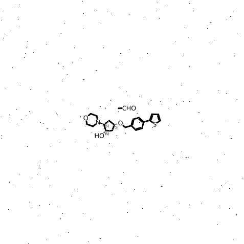 CC=O.O[C@H]1C[C@@H](OCc2ccc(-c3cccs3)cc2)C[C@@H]1N1CCOCC1